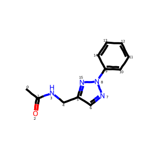 CC(=O)NCc1cnn(-c2ccccc2)n1